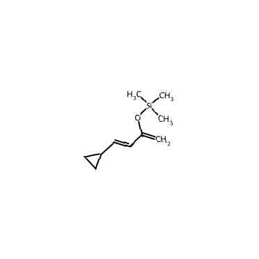 C=C(/C=C/C1CC1)O[Si](C)(C)C